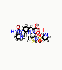 CC1(C)SCN(S(=O)(=O)c2cccnc2)[C@@H]1C(=O)N[C@@H](Cc1ccc(-n2c(=O)[nH]c3cccnc32)cc1)C(=O)O